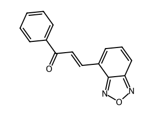 O=C(/C=C/c1cccc2nonc12)c1ccccc1